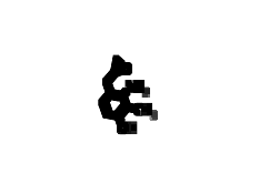 Cc1c(O)ccc(CC2CO2)c1N